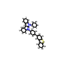 c1ccc(-n2c3ccccc3c3c4ccccc4n(-c4ccc(-c5ccc6sc7ccccc7c6c5)cc4)c32)cc1